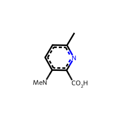 CNc1ccc(C)nc1C(=O)O